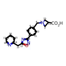 O=C(O)C1CN(Cc2ccc(-c3noc(Cc4ccccn4)n3)cc2)C1